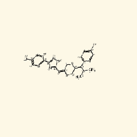 CN(C)C(c1ccc(F)cc1)C1CCC(=Cc2nc(-c3ccc(Cl)cc3)no2)CC1